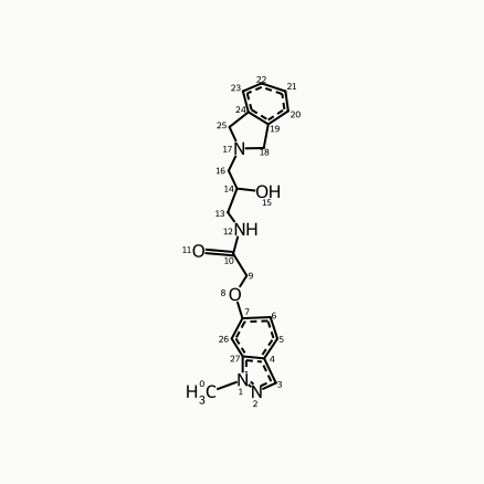 Cn1ncc2ccc(OCC(=O)NCC(O)CN3Cc4ccccc4C3)cc21